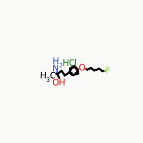 CC(N)(CO)CCc1ccc(OCCCCCF)cc1.Cl